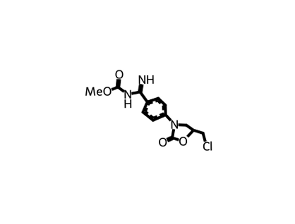 COC(=O)NC(=N)c1ccc(N2CC(CCl)OC2=O)cc1